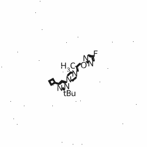 C[C@H](COc1ncc(F)cn1)CN1CCN(c2cc(C3CCC3)nc(C(C)(C)C)n2)CC1